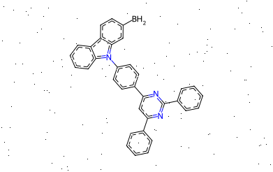 Bc1ccc2c3ccccc3n(-c3ccc(-c4cc(-c5ccccc5)nc(-c5ccccc5)n4)cc3)c2c1